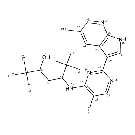 CC(C)(C)C(CC(O)C(F)(F)F)Nc1nc(-c2c[nH]c3ncc(F)cc23)ncc1F